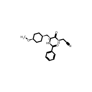 CO[C@H]1CC[C@@H](C[C@H](NC(=O)c2ccccc2)C(=O)NCC#N)CC1